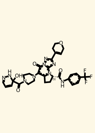 O=C(Nc1ccc(C(F)(F)F)cc1)[C@@H]1CCc2c(N3CCN(C(=O)C4(O)C=CC=NN4)CC3)c(=O)n3nc(C4=CCOCC4)nc3n21